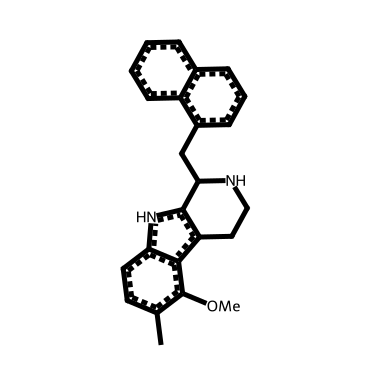 COc1c(C)ccc2[nH]c3c(c12)CCNC3Cc1cccc2ccccc12